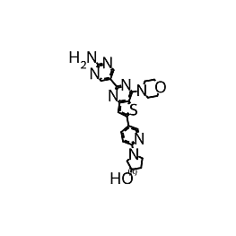 Nc1ncc(-c2nc(N3CCOCC3)c3sc(-c4ccc(N5CC[C@@H](O)C5)nc4)cc3n2)cn1